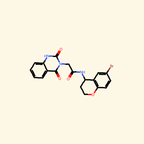 O=C(Cn1c(=O)[nH]c2ccccc2c1=O)NC1CCOc2ccc(Br)cc21